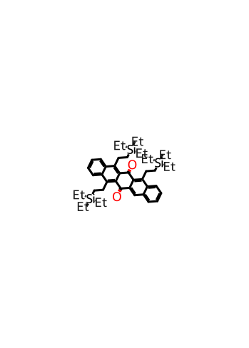 CC[Si](CC)(CC)CCc1c2c(cc3ccccc13)C(=O)c1c(c(CC[Si](CC)(CC)CC)c3ccccc3c1CC[Si](CC)(CC)CC)C2=O